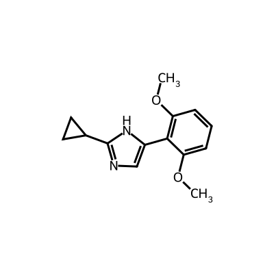 COc1cccc(OC)c1-c1cnc(C2CC2)[nH]1